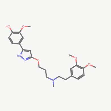 COc1cc(-c2cc(OCCCN(C)CCc3ccc(OC)c(OC)c3)n[nH]2)ccc1O